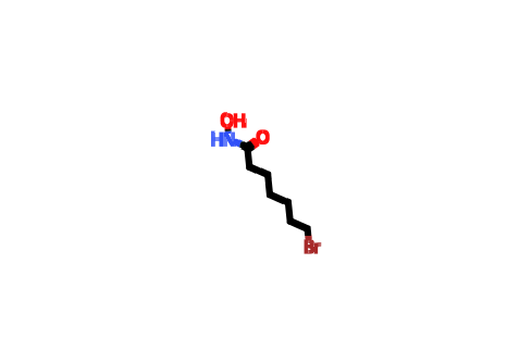 O=C(CCCCCCBr)NO